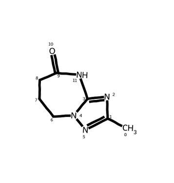 Cc1nc2n(n1)CCCC(=O)N2